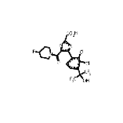 O=C(O)c1nc(C(=O)N2CCC(F)CC2)c(-c2ccc(C(O)(C(F)(F)F)C(F)(F)F)c(Cl)c2Cl)s1